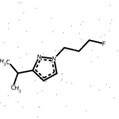 CC(C)c1ccn(CCCF)n1